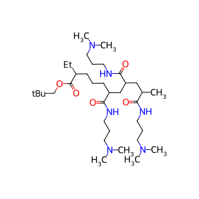 CCC(CCCC(CC(CC(C)C(=O)NCCCN(C)C)C(=O)NCCCN(C)C)C(=O)NCCCN(C)C)C(=O)OCC(C)(C)C